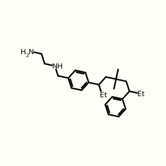 CCC(CC(C)(C)CC(CC)c1ccc(CNCCN)cc1)c1ccccc1